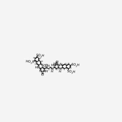 O=S(=O)(O)c1cc(S(=O)(=O)O)c2cc(NC3=NN(Cl)NC(NCCNC4=CC(Nc5cc6c(S(=O)(=O)O)cc(S(=O)(=O)O)cc6cc5S(=O)(=O)O)=NN(Cl)N4)=C3)c(S(=O)(=O)O)cc2c1